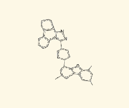 Cc1cc(C)c2oc3c(-c4ccc(-c5nnc6c7ccccc7c7ccccc7n56)cc4)cc(C)cc3c2c1